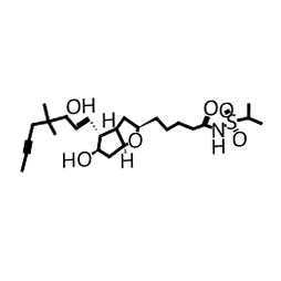 CC#CCC(C)(C)[C@H](O)/C=C/[C@@H]1[C@H]2C[C@@H](CCCCC(=O)NS(=O)(=O)C(C)C)O[C@H]2C[C@H]1O